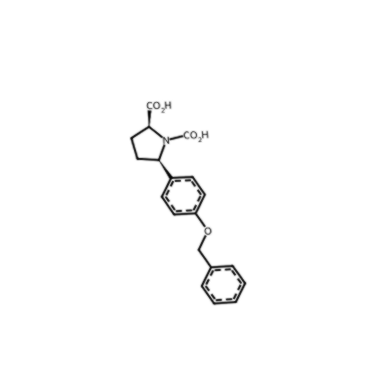 O=C(O)[C@@H]1CC[C@H](c2ccc(OCc3ccccc3)cc2)N1C(=O)O